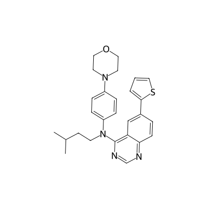 CC(C)CCN(c1ccc(N2CCOCC2)cc1)c1ncnc2ccc(-c3cccs3)cc12